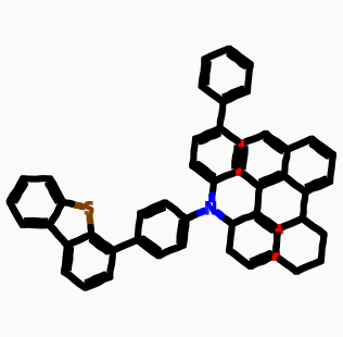 C1=CCC(N(c2ccc(-c3ccccc3)cc2)c2ccc(-c3cccc4c3sc3ccccc34)cc2)C(c2cccc3cccc(C4CCCCC4)c23)=C1